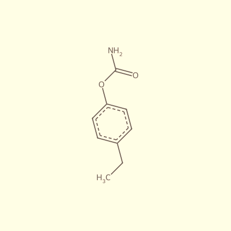 CCc1ccc(OC(N)=O)cc1